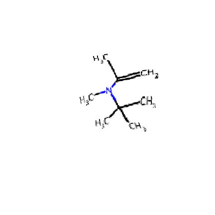 C=C(C)N(C)C(C)(C)C